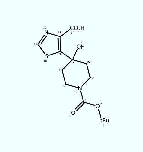 CC(C)(C)OC(=O)N1CCC(O)(c2scnc2C(=O)O)CC1